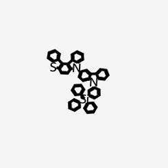 c1ccc([Si](c2ccccc2)(c2ccccc2)c2cccc(-n3c4ccccc4c4cc(-n5c6ccccc6c6c7c(ccc65)sc5ccccc57)ccc43)c2)cc1